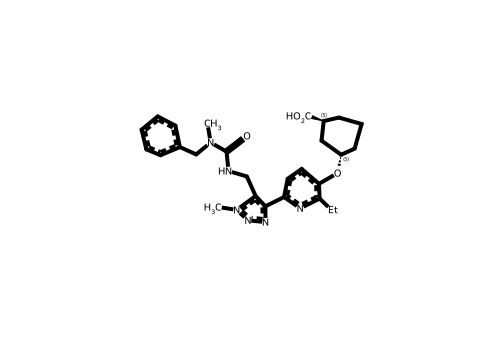 CCc1nc(-c2nnn(C)c2CNC(=O)N(C)Cc2ccccc2)ccc1O[C@H]1CCC[C@H](C(=O)O)C1